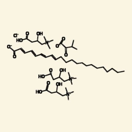 CC(C)C(=O)C(=O)[O-].CCCCCCCCCCCCCC=CC=CC=CC=CC(=O)[O-].C[N+](C)(C)CC(O)CC(=O)O.C[N+](C)(C)CC(O)CC(=O)O.C[N+](C)(C)CC(O)CC(=O)O.[Cl-]